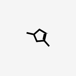 CC1=[C]CC(C)C1